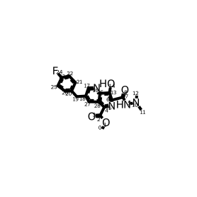 COC(=O)c1nc(C(=O)NN(C)C)c(O)c2ncc(Cc3ccc(F)cc3)cc12